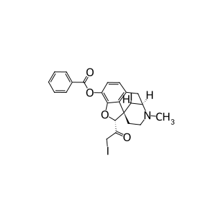 CN1CC[C@]23c4c(ccc(OC(=O)c5ccccc5)c4O[C@H]2C(=O)CI)C[C@@H]1[C@@H]3I